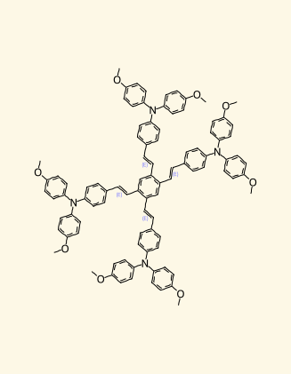 COc1ccc(N(c2ccc(/C=C/c3cc(/C=C/c4ccc(N(c5ccc(OC)cc5)c5ccc(OC)cc5)cc4)c(/C=C/c4ccc(N(c5ccc(OC)cc5)c5ccc(OC)cc5)cc4)cc3/C=C/c3ccc(N(c4ccc(OC)cc4)c4ccc(OC)cc4)cc3)cc2)c2ccc(OC)cc2)cc1